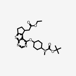 CCOC(=O)CC1CCc2sc3ncnc(OC4CCC(N(C)C(=O)OC(C)(C)C)CC4)c3c21